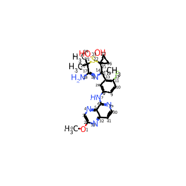 COc1cnc2c(Nc3ccc(F)c([C@@]4(C)N=C(N)C(C)(C)S(O)(O)C45CC5)c3)nccc2n1